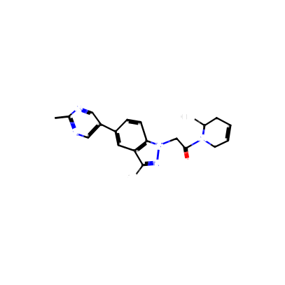 CC(=O)c1nn(CC(=O)N2CC=CCC2C=O)c2ccc(-c3cnc(C)nc3)cc12